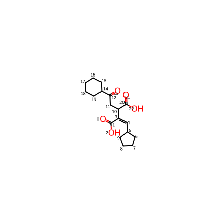 O=C(O)C(=CC1CCCC1)C(CC(=O)C1CCCCC1)C(=O)O